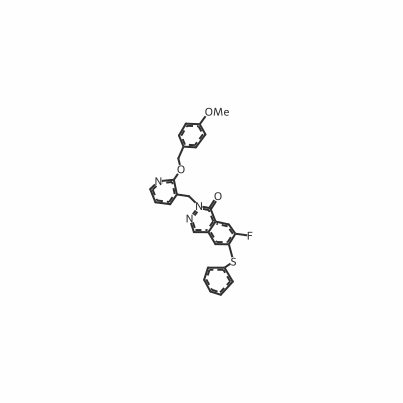 COc1ccc(COc2ncccc2Cn2ncc3cc(Sc4ccccc4)c(F)cc3c2=O)cc1